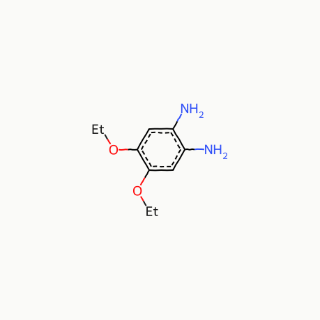 CCOc1cc(N)c(N)cc1OCC